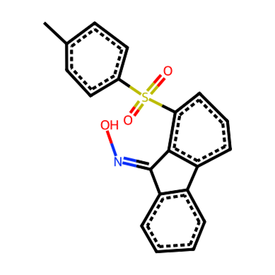 Cc1ccc(S(=O)(=O)c2cccc3c2C(=NO)c2ccccc2-3)cc1